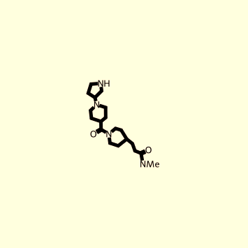 CNC(=O)CCC1CCN(C(=O)C2CCN(C3CCNC3)CC2)CC1